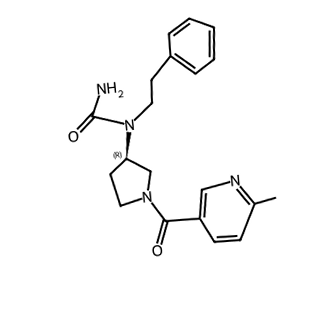 Cc1ccc(C(=O)N2CC[C@@H](N(CCc3ccccc3)C(N)=O)C2)cn1